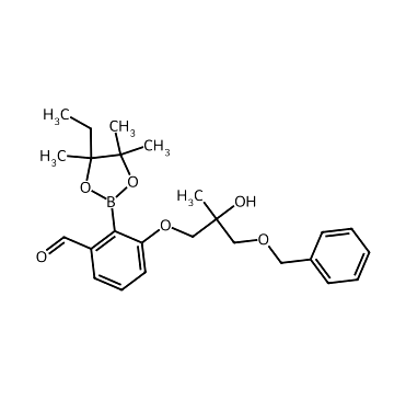 CCC1(C)OB(c2c(C=O)cccc2OCC(C)(O)COCc2ccccc2)OC1(C)C